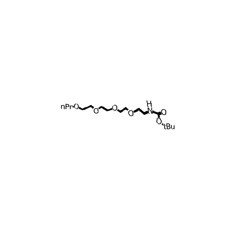 CCCOCCOCCOCCOCCNC(=O)OC(C)(C)C